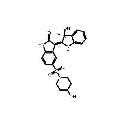 C[C@@]1(O)/C(=C2\C(=O)Nc3ccc(S(=O)(=O)N4CCC(O)CC4)cc32)Nc2ccccc21